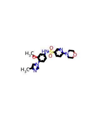 COc1cc(NS(=O)(=O)c2ccc(N3CCOCC3)nc2)ccc1-n1cnc(C)c1